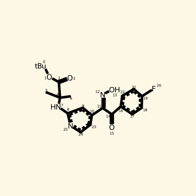 CC(C)(C)OC(=O)C(C)(C)Nc1cc(C(=NO)C(=O)c2ccc(F)cc2)ccn1